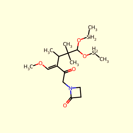 COC=C(C(=O)CN1CCC1=O)C(C)C(C)(C)C(O[SiH2]C)O[SiH2]C